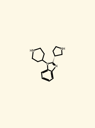 c1ccc2c(c1)nc([C@@H]1CCNC1)n2C1CCNCC1